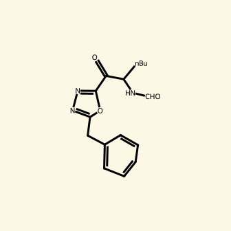 CCCCC(NC=O)C(=O)c1nnc(Cc2ccccc2)o1